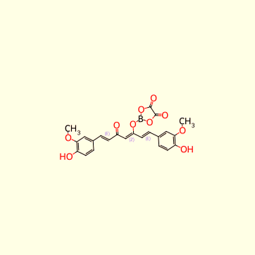 COc1cc(/C=C/C(=O)/C=C(/C=C/c2ccc(O)c(OC)c2)OB2OC(=O)C(=O)O2)ccc1O